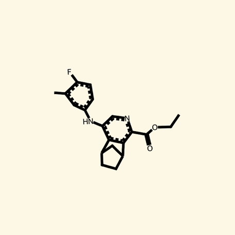 CCOC(=O)c1ncc(Nc2ccc(F)c(C)c2)c2c1C1CCC2C1